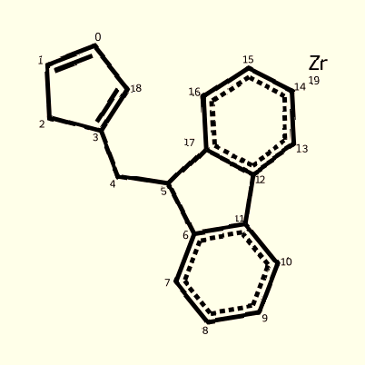 C1=CCC(CC2c3ccccc3-c3ccccc32)=C1.[Zr]